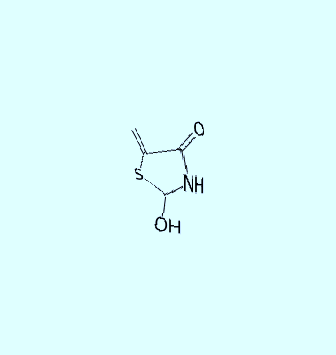 C=C1SC(O)NC1=O